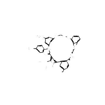 Cc1c2cc(n1C)-c1cc(Cl)ccc1C(=O)N1CCc3c(cccc3C1)CCCOc1cc(C#N)cc(c1)N(c1ccc(O)cc1)C2=O